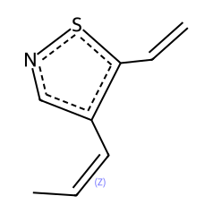 C=Cc1sncc1/C=C\C